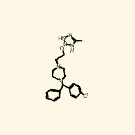 [CH2]C1=NNN(OCCN2CCN(C(c3ccccc3)c3ccc(Cl)cc3)CC2)N1